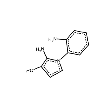 Nc1ccccc1-n1ccc(O)c1N